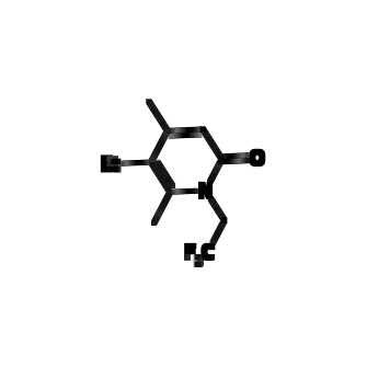 CCc1c(C)cc(=O)n(CC(F)(F)F)c1C